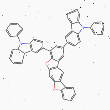 C1=CC2c3cc(-c4cc(-c5ccc6c(c5)c5ccccc5n6-c5ccccc5)cc5c4oc4cc6oc7ccccc7c6cc45)ccc3N(c3ccccc3)C2C=C1